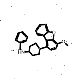 COc1ccc(C2CCC(N[C@H](C)c3ccccc3)CC2)c2c1oc1ccccc12